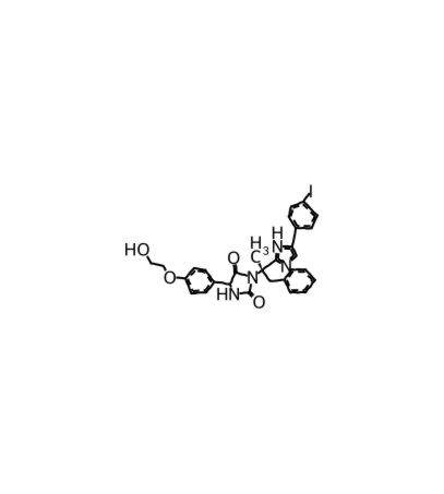 C[C@](Cc1ccccc1)(c1ncc(-c2ccc(I)cc2)[nH]1)N1C(=O)NC(c2ccc(OCCO)cc2)C1=O